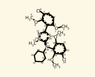 COc1ccc(Cl)c(OC)c1-c1nn(C)c(=[N+](c2c(OC)ccc(Cl)c2OC)C2CCCCC2)s1